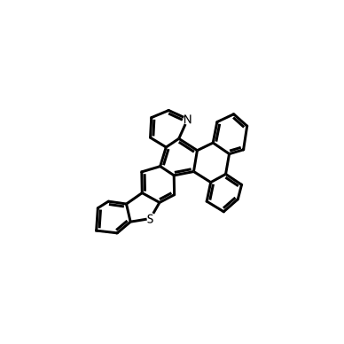 c1ccc2c(c1)sc1cc3c(cc12)c1cccnc1c1c2ccccc2c2ccccc2c31